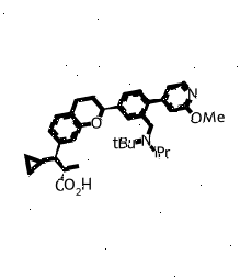 COc1cc(-c2ccc([C@@H]3CCc4ccc([C@H](C5CC5)[C@H](C)C(=O)O)cc4O3)cc2CN(C(C)C)C(C)(C)C)ccn1